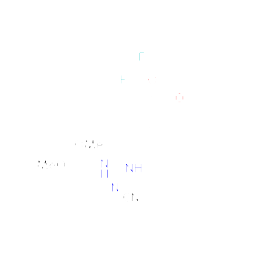 COC(CN/C(=N/C#N)NCCc1ccc(OC(F)F)c(OC2CCCC2)c1)OC